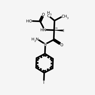 CC(C)[C@@](I)(NC(=O)O)C(=O)N(N)c1ccc(I)cc1